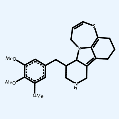 COc1cc(CC2CNCC3=C4CCCC5=C4N(CC=CS5)C32)cc(OC)c1OC